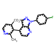 Cc1nccc(C(=O)O)c1-c1ccnc2c1cnn2-c1ccc(F)cc1